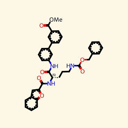 COC(=O)c1cccc(-c2cccc(NC(=O)[C@H](CCCNC(=O)OCc3ccccc3)NC(=O)c3cc4ccccc4o3)c2)c1